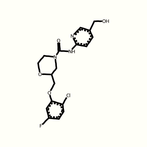 O=C(Nc1ccc(CO)cn1)N1CCOC(COc2cc(F)ccc2Cl)C1